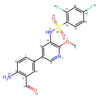 COc1ncc(-c2ccc(N)c(C=O)c2)cc1NS(=O)(=O)c1ccc(F)cc1F